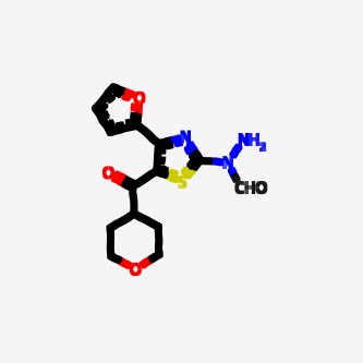 NN(C=O)c1nc(-c2ccco2)c(C(=O)C2CCOCC2)s1